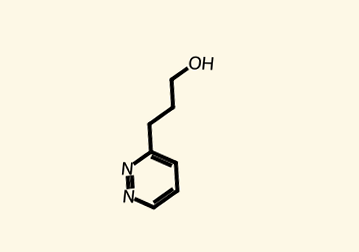 OCCCc1cccnn1